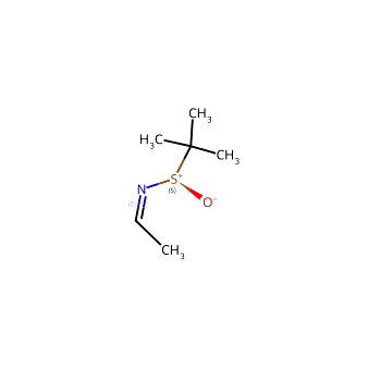 C/C=N\[S@+]([O-])C(C)(C)C